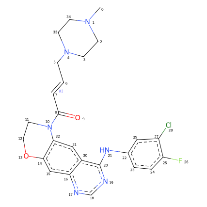 CN1CCN(C/C=C/C(=O)N2CCOc3cc4ncnc(Nc5ccc(F)c(Cl)c5)c4cc32)CC1